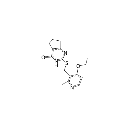 CCOc1ccnc(C)c1CSc1nc2c(c(=O)[nH]1)CCC2